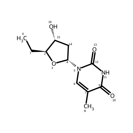 CC[C@@H]1O[C@@H](n2cc(C)c(=O)[nH]c2=O)C[C@H]1O